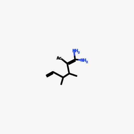 C=CC(C)C(C)C(C(C)=O)=C(N)N